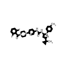 Cc1ccc(-n2nc(C3(C)CC3)cc2NC(=O)Nc2ccc(N3CCN(C(=O)c4c(F)cccc4F)CC3)nc2)cc1